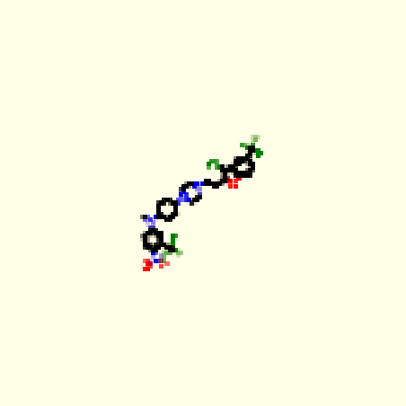 CN(c1ccc([N+](=O)[O-])c(C(F)(F)F)c1)C1CCC(N2CCN(CCc3oc4ccc(C(F)(F)F)cc4c3Cl)CC2)CC1